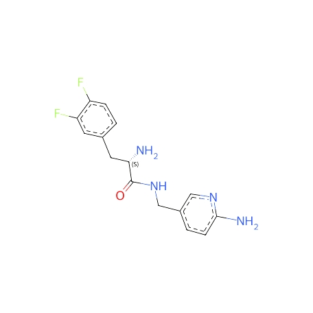 Nc1ccc(CNC(=O)[C@@H](N)Cc2ccc(F)c(F)c2)cn1